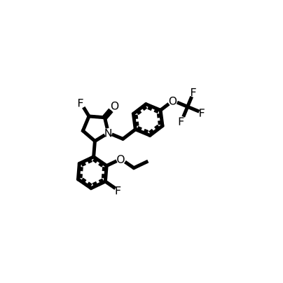 CCOc1c(F)cccc1C1CC(F)C(=O)N1Cc1ccc(OC(F)(F)F)cc1